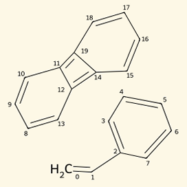 C=Cc1ccccc1.c1ccc2c(c1)=c1ccccc1=2